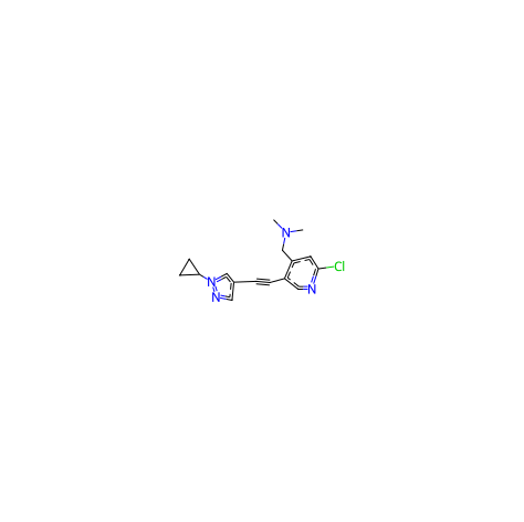 CN(C)Cc1cc(Cl)ncc1C#Cc1cnn(C2CC2)c1